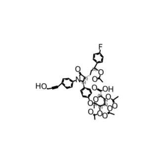 CC(=O)O[C@H]1[C@H](OC(C)=O)[C@@H](OC(C)=O)[C@](C)(Oc2ccc([C@@H]3[C@@H](CC[C@H](OC(C)=O)c4ccc(F)cc4)C(=O)N3c3ccc(C#CCO)cc3)cc2)O[C@@H]1C(=O)O